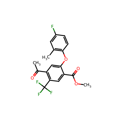 COC(=O)c1cc(C(F)(F)F)c(C(C)=O)cc1Oc1ccc(F)cc1C